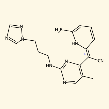 BC1=CC=C/C(=C(\C#N)c2nc(NCCCn3cncn3)ncc2C)N1